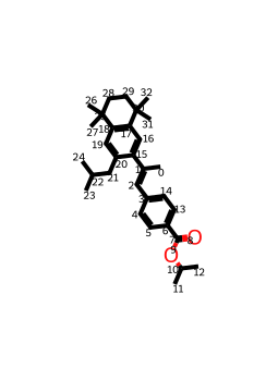 CC(=Cc1ccc(C(=O)OC(C)C)cc1)c1cc2c(cc1CC(C)C)C(C)(C)CCC2(C)C